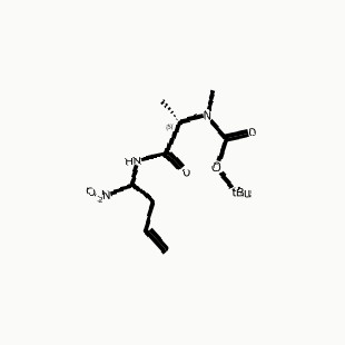 C=CCC(NC(=O)[C@H](C)N(C)C(=O)OC(C)(C)C)[N+](=O)[O-]